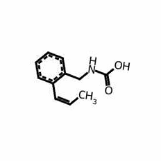 C/C=C\c1ccccc1CNC(=O)O